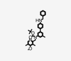 COc1c(C)cnc(CN(C(=O)OC(C)(C)C)c2cc(C)cc(-c3ccc(NCc4ccccc4)cc3)c2)c1C